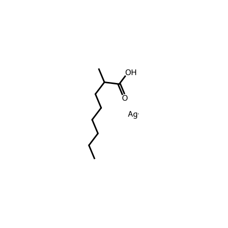 CCCCCCC(C)C(=O)O.[Ag]